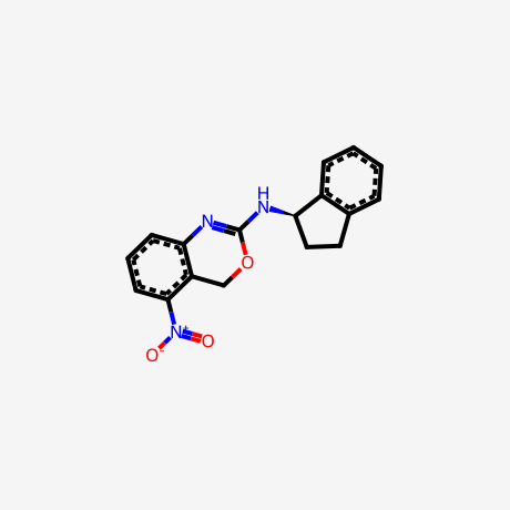 O=[N+]([O-])c1cccc2c1COC(N[C@@H]1CCc3ccccc31)=N2